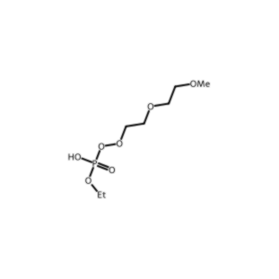 CCOP(=O)(O)OOCCOCCOC